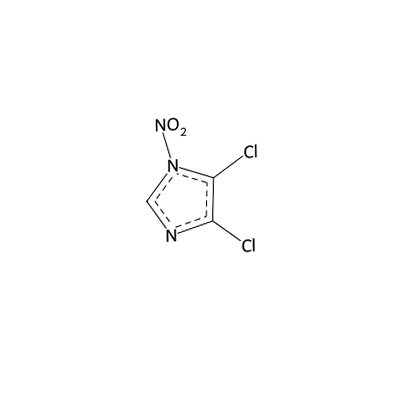 O=[N+]([O-])n1cnc(Cl)c1Cl